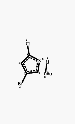 Clc1cc(Br)cs1.[Li][CH2]CCC